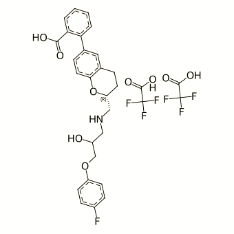 O=C(O)C(F)(F)F.O=C(O)C(F)(F)F.O=C(O)c1ccccc1-c1ccc2c(c1)CC[C@H](CNCC(O)COc1ccc(F)cc1)O2